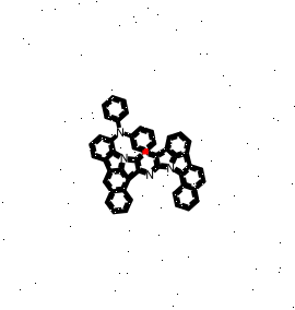 c1ccc(N(c2ccccc2)c2cccc3c4cc5ccccc5c5c6nc7c(nc6n(c23)c45)c2cccc3c4ccc5ccccc5c4n7c32)cc1